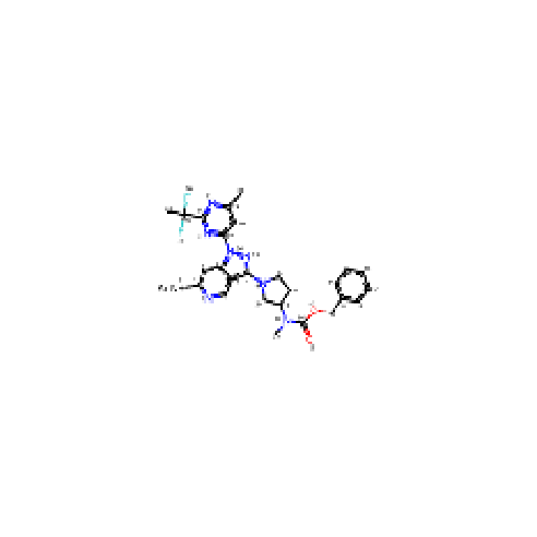 CC(=O)Nc1cc2c(cn1)c(N1CCC(N(C)C(=O)OCc3ccccc3)C1)nn2-c1cc(C)nc(C(C)(F)F)n1